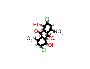 O=C1c2c([N+](=O)[O-])cc(Cl)c(O)c2C(=O)c2c([N+](=O)[O-])cc(Cl)c(O)c21